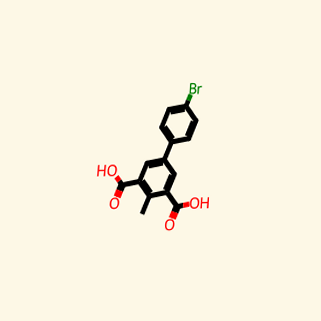 Cc1c(C(=O)O)cc(-c2ccc(Br)cc2)cc1C(=O)O